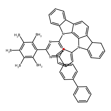 Bc1c(B)c(B)c(-c2nc(-c3ccc(-c4ccccc4)cc3)nc(-n3c4ccccc4c4ccc5c(c43)N(c3ccccc3)C3=CC=CCC35)n2)c(B)c1B